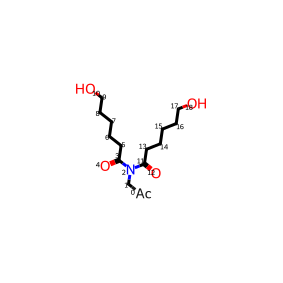 CC(=O)CN(C(=O)CCCCCO)C(=O)CCCCCO